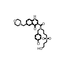 O=C(c1c[nH]c2ccc(CN3CCOCC3)cc2c1=O)N(CCCS(=O)(=O)CCCO)Cc1ccc(Cl)cc1